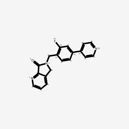 O=C1c2ncccc2CN1Cc1ccc(-c2ccncc2)cc1F